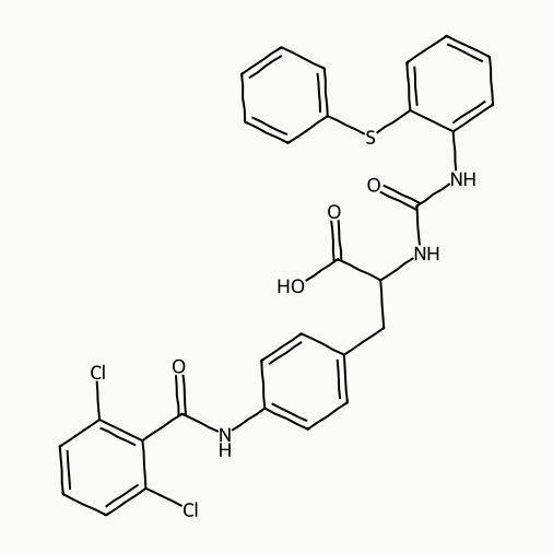 O=C(Nc1ccccc1Sc1ccccc1)NC(Cc1ccc(NC(=O)c2c(Cl)cccc2Cl)cc1)C(=O)O